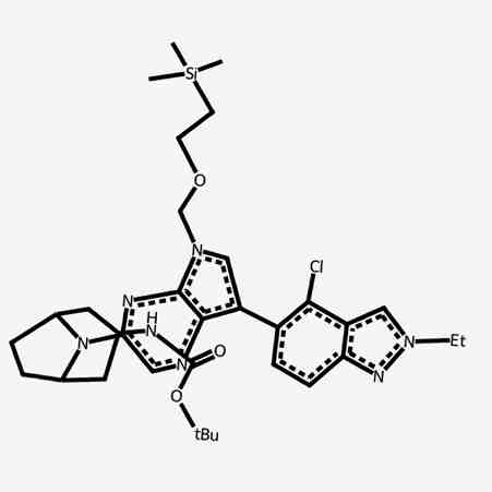 CCn1cc2c(Cl)c(-c3cn(COCC[Si](C)(C)C)c4nc(N5C6CCC5CC(NC(=O)OC(C)(C)C)C6)cnc34)ccc2n1